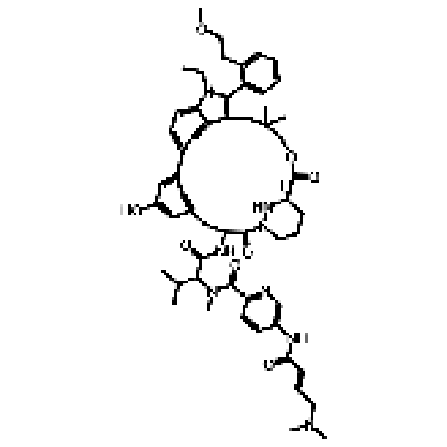 CCn1c(-c2ccccc2CCOC)c2c3cc(ccc31)-c1cc(O)cc(c1)C[C@H](NC(=O)[C@H](C(C)C)N(C)C(=O)c1ccc(NC(=O)/C=C/CN(C)C)cn1)C(=O)N1CCC[C@H](N1)C(=O)OCC(C)(C)C2